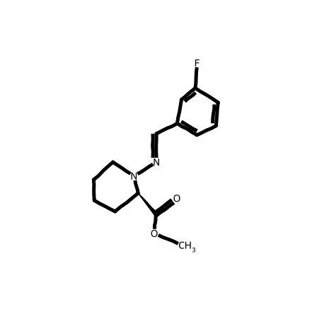 COC(=O)[C@H]1CCCCN1N=Cc1cccc(F)c1